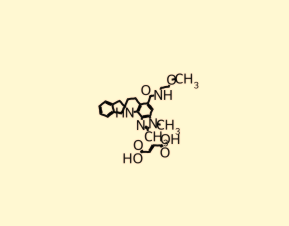 COCCNC(=O)c1cc2c(nc(C)n2C)c2c1CCC1(Cc3ccccc3C1)N2.O=C(O)C=CC(=O)O